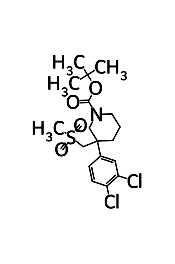 CC(C)(C)OC(=O)N1CCCC(CS(C)(=O)=O)(c2ccc(Cl)c(Cl)c2)C1